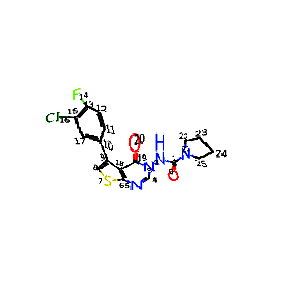 O=C(Nn1cnc2scc(-c3ccc(F)c(Cl)c3)c2c1=O)N1CCCC1